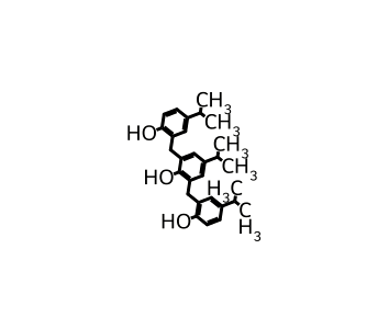 CC(C)c1ccc(O)c(Cc2cc(C(C)C)cc(Cc3cc(C(C)C)ccc3O)c2O)c1